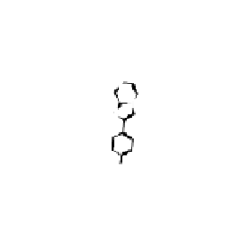 Fc1ccc(-c2[c]n3ccncc3n2)cc1